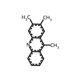 Cc1cc2nc3ccccc3c(C)c2cc1C